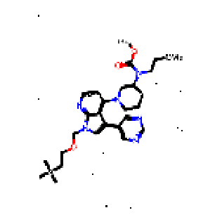 COCCN(C(=O)OC(C)(C)C)[C@H]1CCCN(c2ccnc3c2c(-c2cncnc2)cn3COCC[Si](C)(C)C)C1